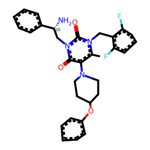 Cc1c(N2CCC(Oc3ccccc3)CC2)c(=O)n(C[C@@H](N)c2ccccc2)c(=O)n1Cc1c(F)cccc1F